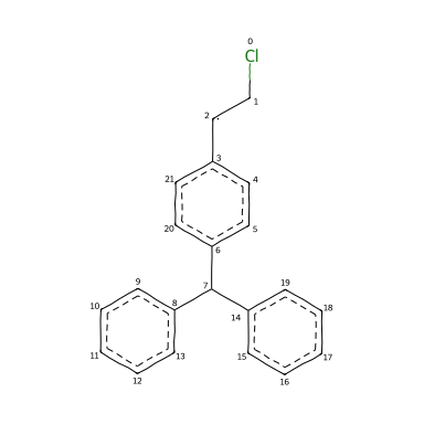 ClC[CH]c1ccc(C(c2ccccc2)c2ccccc2)cc1